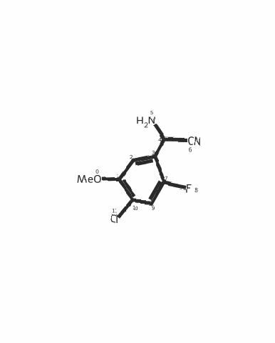 COc1cc(C(N)C#N)c(F)cc1Cl